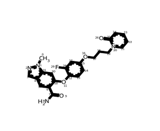 Cn1ncc2cc(C(N)=O)c(Oc3ccc(OCCCn4ccccc4=O)cc3F)cc21